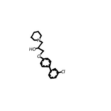 OC(COc1ccc(-c2cccc(Cl)c2)cc1)CN1CCCCC1